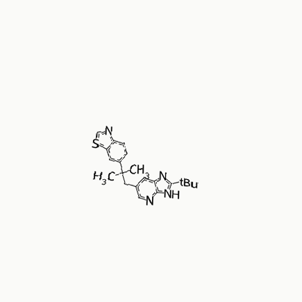 CC(C)(C)c1nc2cc(CC(C)(C)c3ccc4ncsc4c3)cnc2[nH]1